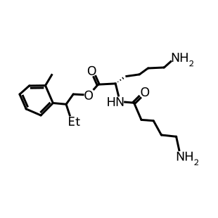 CCC(COC(=O)[C@H](CCCCN)NC(=O)CCCCN)c1ccccc1C